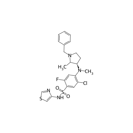 CC1[C@H](N(C)c2cc(F)c(S(=O)(=O)Nc3cscn3)cc2Cl)CCN1Cc1ccccc1